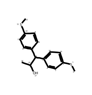 CSc1ccc(C(c2ccc(SC)cc2)C(C)O)cc1